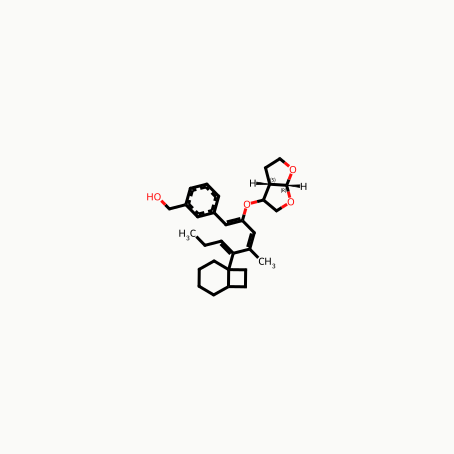 CCC=C(C(C)=CC(=Cc1cccc(CO)c1)OC1CO[C@H]2OCC[C@@H]12)C12CCCCC1CC2